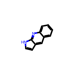 [c]1ccc2cc3cc[nH]c3nc2c1